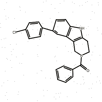 O=C(c1ccccc1)N1CCc2[nH]c3ccc(-c4ccc(Cl)cc4)cc3c2C1